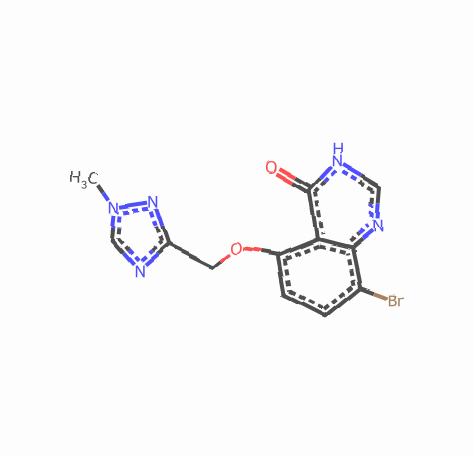 Cn1cnc(COc2ccc(Br)c3nc[nH]c(=O)c23)n1